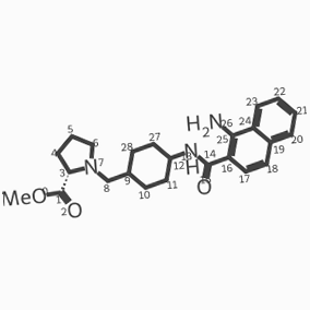 COC(=O)[C@@H]1CCCN1CC1CCC(NC(=O)c2ccc3ccccc3c2N)CC1